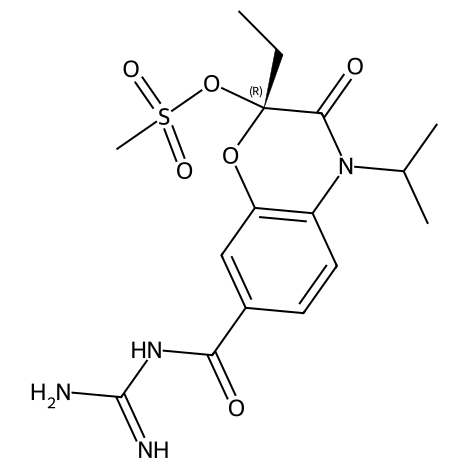 CC[C@]1(OS(C)(=O)=O)Oc2cc(C(=O)NC(=N)N)ccc2N(C(C)C)C1=O